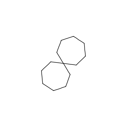 C1CCCC2(CC1)CCCCCC2